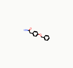 [NH]C(=O)Cc1ccc(OCc2ccccc2)cc1